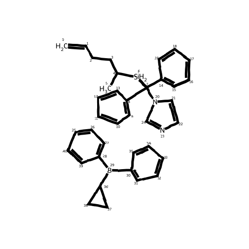 C=CCCC(C)[SiH2]C(c1ccccc1)(c1ccccc1)n1ccnc1.c1ccc(B(c2ccccc2)C2CC2)cc1